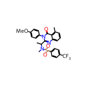 COc1ccc(-n2c(C(C)N(C)S(=O)(=O)c3ccc(C(F)(F)F)cc3)nc3cccc(C)c3c2=O)cc1